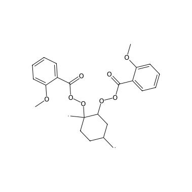 [CH2]C1CCC([CH2])(OOC(=O)c2ccccc2OC)C(OOC(=O)c2ccccc2OC)C1